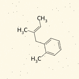 CC=C(C)Cc1ccccc1C